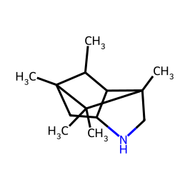 CC1C2C3CC1(C)C(C)(C)C2(C)CN3